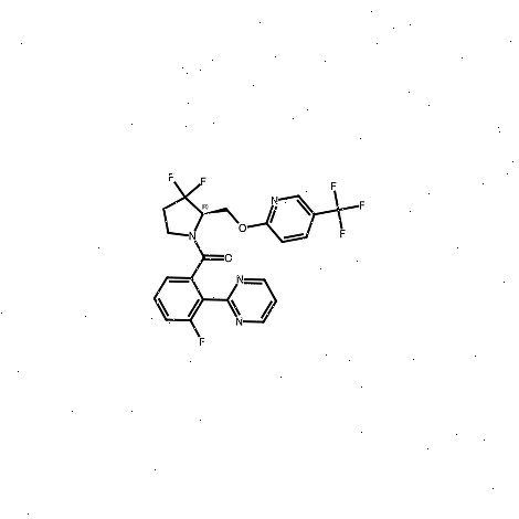 O=C(c1cccc(F)c1-c1ncccn1)N1CCC(F)(F)[C@H]1COc1ccc(C(F)(F)F)cn1